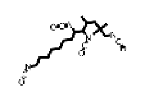 CC(CC(C)(C)CN=C=O)C(N=C=O)C(CCCCCCCN=C=O)N=C=O